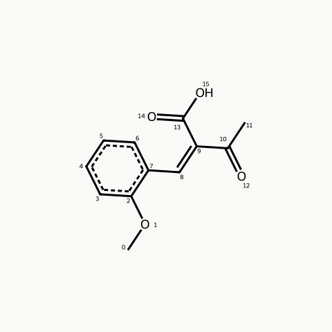 COc1ccccc1C=C(C(C)=O)C(=O)O